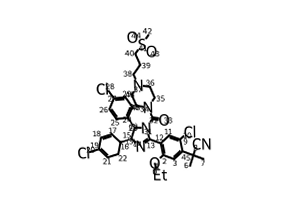 CCOc1cc(C(C)(C)C#N)c(Cl)cc1C1=N[C@@H](C2C=CC(Cl)=CC2)[C@@H](c2ccc(Cl)cc2)N1C(=O)N1CCN(CCCS(C)(=O)=O)CC1